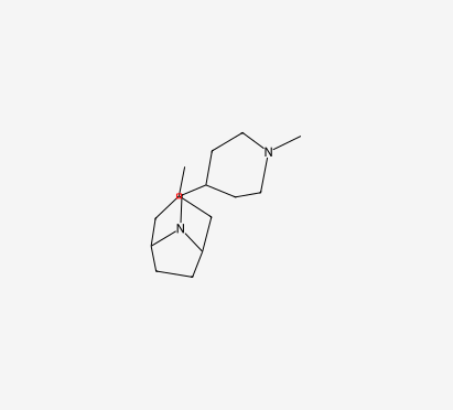 CC1CC2CCC(C1)N2CC1CCN(C)CC1